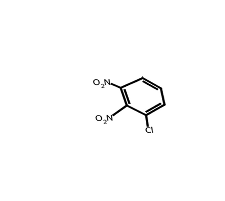 O=[N+]([O-])c1[c]ccc(Cl)c1[N+](=O)[O-]